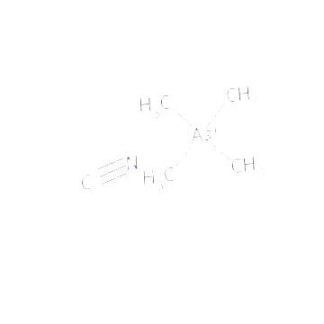 C[As+](C)(C)C.[C-]#N